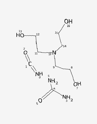 N=C=O.NC(N)=O.OCCN(CCO)CCO